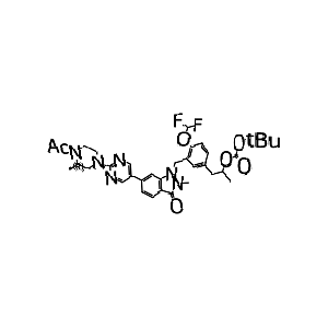 CC(=O)N1CCN(c2ncc(-c3ccc4c(=O)n(C)n(Cc5cc(CC(C)OC(=O)OC(C)(C)C)ccc5OC(F)F)c4c3)cn2)C[C@H]1C